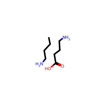 CCCCN.NCCCC(=O)O